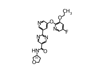 CCOc1cc(F)cnc1Oc1cncc(-c2ncc(C(=O)N[C@H]3CCOC3)cn2)c1